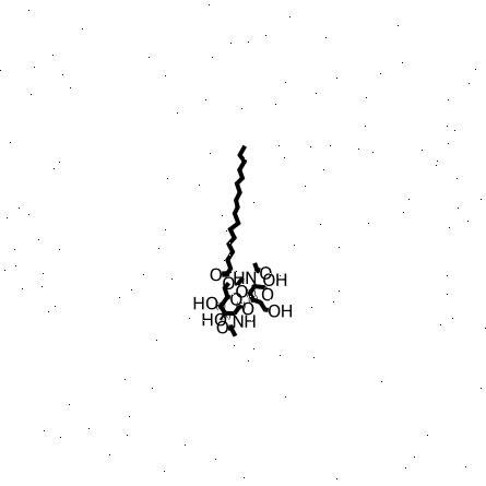 CCCCCCCCCCCCCCCCCC(=O)OCC1O[C@@H](O[C@@H]2C(CO)OC(O)C(NC(C)=O)[C@H]2OCC)C(NC(C)=O)[C@@H](O)[C@@H]1O